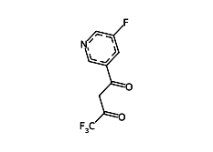 O=C(CC(=O)C(F)(F)F)c1cncc(F)c1